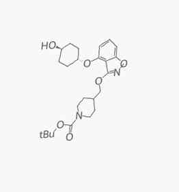 CC(C)(C)OC(=O)N1CCC(COc2noc3cccc(O[C@H]4CC[C@H](O)CC4)c23)CC1